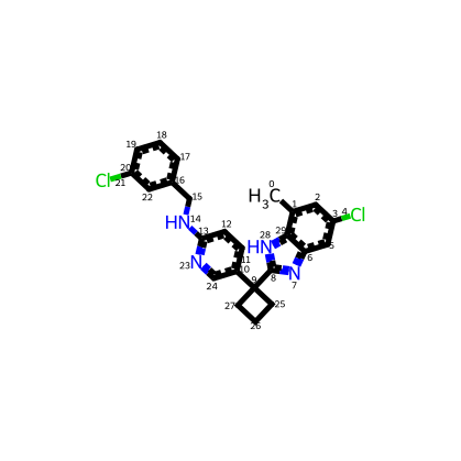 Cc1cc(Cl)cc2nc(C3(c4ccc(NCc5cccc(Cl)c5)nc4)CCC3)[nH]c12